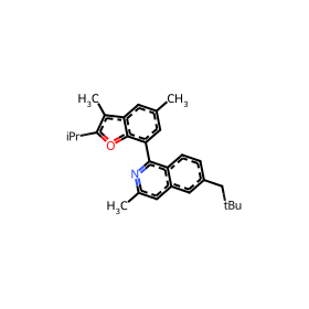 Cc1cc(-c2nc(C)cc3cc(CC(C)(C)C)ccc23)c2oc(C(C)C)c(C)c2c1